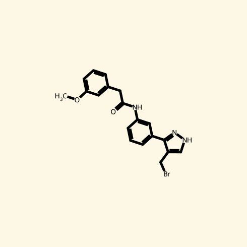 COc1cccc(CC(=O)Nc2cccc(-c3n[nH]cc3CBr)c2)c1